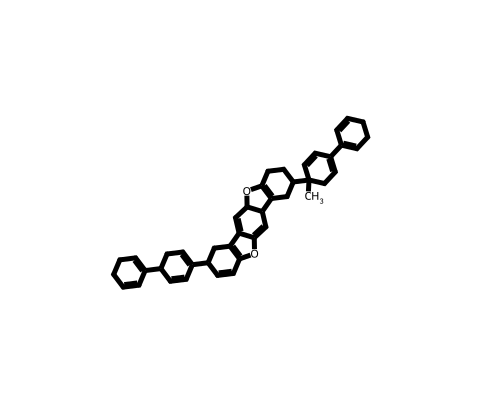 CC1(C2CCC3=C(C2)C2C=c4oc5c(c4=CC2O3)CC(C2=CCC(C3=CCCC=C3)C=C2)C=C5)C=CC(C2=CCCC=C2)=CC1